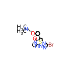 CN(C)CCCOc1cccc(-c2ccsc2C(=O)N2CCCCC2CNc2ncc(Br)cn2)c1